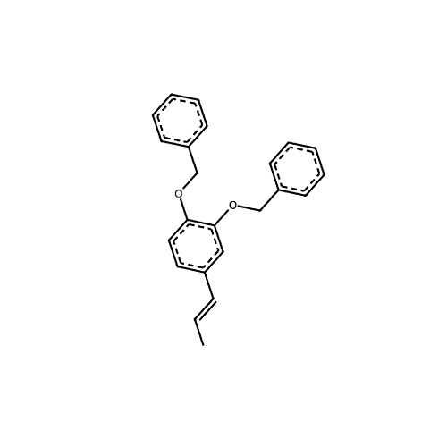 [CH2]C=Cc1ccc(OCc2ccccc2)c(OCc2ccccc2)c1